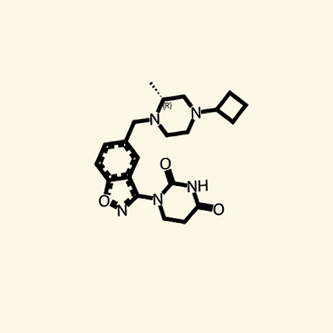 C[C@@H]1CN(C2CCC2)CCN1Cc1ccc2onc(N3CCC(=O)NC3=O)c2c1